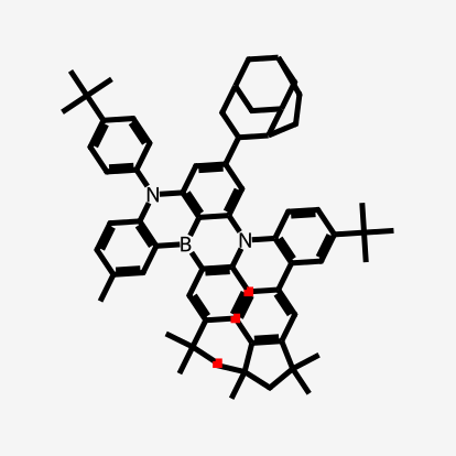 Cc1ccc2c(c1)B1c3cc(C(C)(C)C)ccc3N(c3ccc(C(C)(C)C)cc3-c3ccc4c(c3)C(C)(C)CC4(C)C)c3cc(C4CC5CC6CCC4C(C6)C5)cc(c31)N2c1ccc(C(C)(C)C)cc1